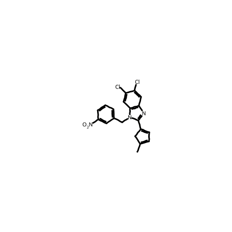 CC1=CC=C(c2nc3cc(Cl)c(Cl)cc3n2Cc2cccc([N+](=O)[O-])c2)C1